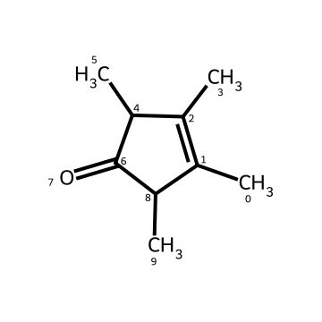 CC1=C(C)C(C)C(=O)C1C